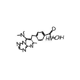 Cc1nc2ncnn2c(N(C)C)c1Cc1ccc(C(=O)NO)cc1